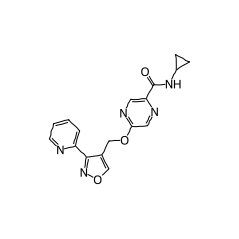 O=C(NC1CC1)c1cnc(OCc2conc2-c2ccccn2)cn1